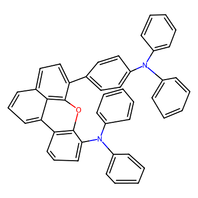 c1ccc(N(c2ccccc2)c2ccc(-c3ccc4cccc5c4c3Oc3c-5cccc3N(c3ccccc3)c3ccccc3)cc2)cc1